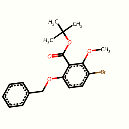 COc1c(Br)ccc(OCc2ccccc2)c1C(=O)OC(C)(C)C